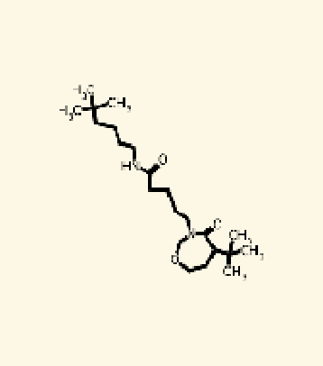 CC(C)(C)CCCCNC(=O)CCCCN1COCCC(C(C)(C)C)C1=O